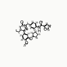 CCC1CC(=O)N(Cc2ccc(NC(=O)c3cnco3)cc2)N=C1c1ccc(OC)c(OC2CCCC2)c1